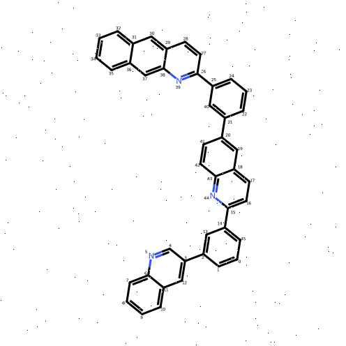 c1cc(-c2cnc3ccccc3c2)cc(-c2ccc3cc(-c4cccc(-c5ccc6cc7ccccc7cc6n5)c4)ccc3n2)c1